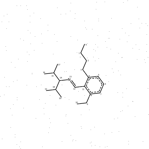 CCCCc1cccc(CC)c1C=NC(C(C)C)C(C)C